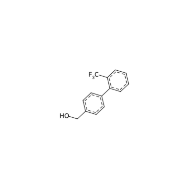 OCc1ccc(-c2ccccc2C(F)(F)F)cc1